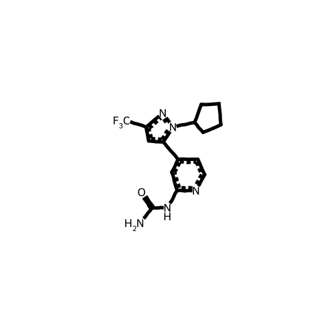 NC(=O)Nc1cc(-c2cc(C(F)(F)F)nn2C2CCCC2)ccn1